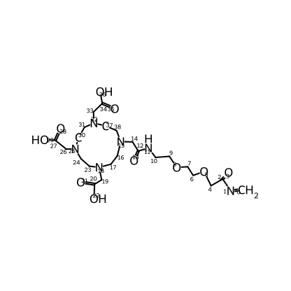 C=NC(=O)COCCOCCNC(=O)CN1CCN(CC(=O)O)CCN(CC(=O)O)CCN(CC(=O)O)CC1